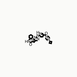 O=C1NCC2(CCCCC2)n2c1cc1cnc(Nc3ccc(C(=O)N4CCN(C5CCC5)CC4)cn3)nc12